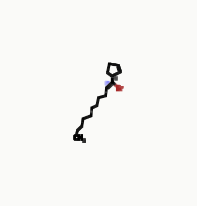 CCCCCCCCC/C=C(\Br)[C@@H]1C=CCC1